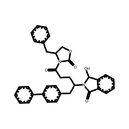 O=C(CCC(Cc1ccc(-c2ccccc2)cc1)N1C(=O)c2ccccc2C1O)N1C(=O)OCC1Cc1ccccc1